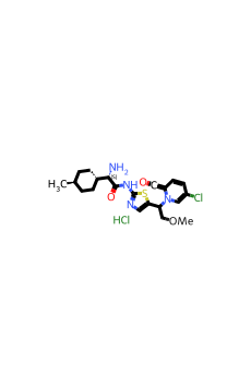 COCC(c1cnc(NC(=O)[C@@H](N)[C@H]2CC[C@H](C)CC2)s1)N1C=C(Cl)C=CC1=C=O.Cl